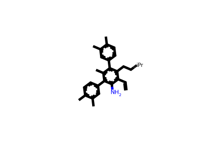 C=Cc1c(N)c(-c2ccc(C)c(C)c2)c(C)c(-c2ccc(C)c(C)c2)c1CCC(C)C